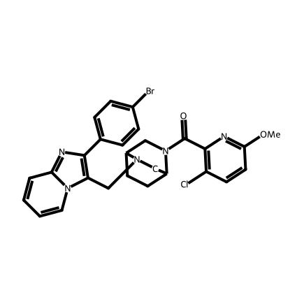 COc1ccc(Cl)c(C(=O)N2CC3CCC2CN3Cc2c(-c3ccc(Br)cc3)nc3ccccn23)n1